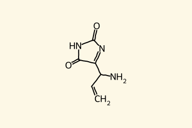 C=CC(N)C1=NC(=O)NC1=O